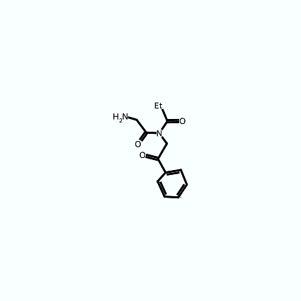 CCC(=O)N(CC(=O)c1cc[c]cc1)C(=O)CN